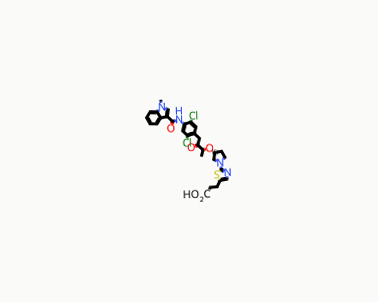 CC(O[C@H]1CCN(c2ncc(CCC(=O)O)s2)C1)C(=O)Cc1cc(Cl)c(NC(=O)c2cn(C)c3ccccc23)cc1Cl